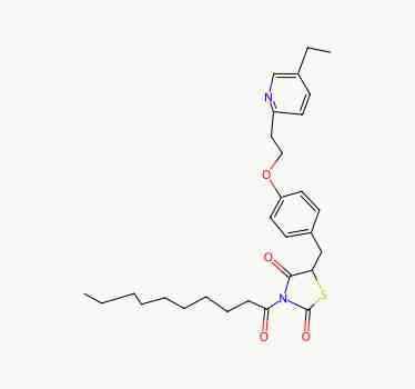 CCCCCCCCCC(=O)N1C(=O)SC(Cc2ccc(OCCc3ccc(CC)cn3)cc2)C1=O